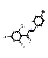 O=C(/C=C/c1ccc(Br)cc1)c1c(O)cc(F)cc1F